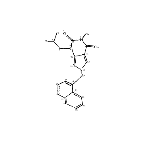 CC(C)Cn1c(=O)n(C)c(=O)c2cn(Cc3cccc4ccccc34)nc21